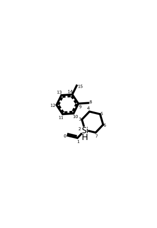 C=C[SiH]1CCCCC1.Cc1ccccc1C